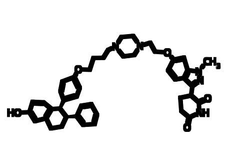 Cn1nc(C2CCC(=O)NC2=O)c2ccc(OCCN3CCN(CCCCOc4ccc([C@@H]5c6ccc(O)cc6CC[C@@H]5c5ccccc5)cc4)CC3)cc21